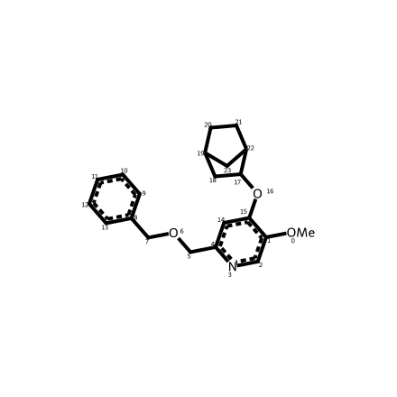 COc1cnc(COCc2ccccc2)cc1OC1CC2CCC1C2